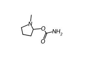 CN1CCCC1OC(N)=O